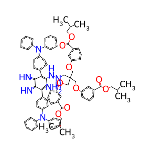 CC(C)COC(=O)c1cccc(OCC(CNNC2=C(c3ccc(N(c4ccccc4)c4ccccc4)cc3)C(=N)C(=N)C(c3ccc(N(c4ccccc4)c4ccccc4)cc3)=C2N)(COc2cccc(C(=O)OCC(C)C)c2)COc2cccc(C(=O)OCC(C)C)c2)c1